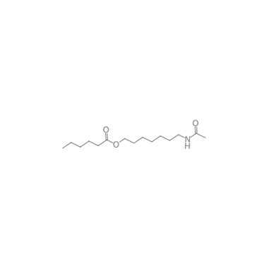 CCCCCC(=O)OCCCCCCCNC(C)=O